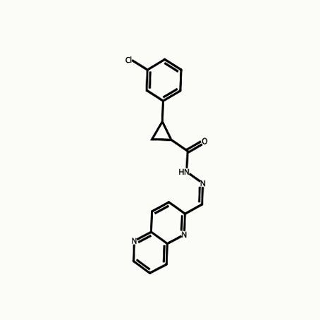 O=C(N/N=C\c1ccc2ncccc2n1)C1CC1c1cccc(Cl)c1